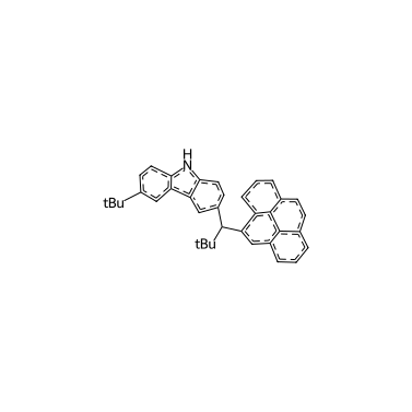 CC(C)(C)c1ccc2[nH]c3ccc(C(c4cc5cccc6ccc7cccc4c7c65)C(C)(C)C)cc3c2c1